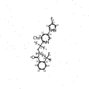 O=C(NCC(F)(F)c1ncc(-n2cc(F)cn2)cc1Cl)c1ccccc1C(F)(F)F